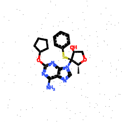 C[C@H]1OC[C@H](O)[C@@]1(Sc1ccccc1)n1cnc2c(N)nc(OC3CCCC3)nc21